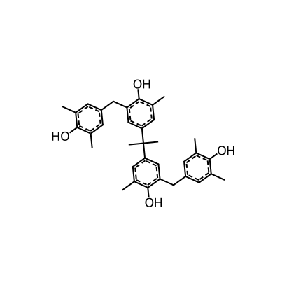 Cc1cc(Cc2cc(C(C)(C)c3cc(C)c(O)c(Cc4cc(C)c(O)c(C)c4)c3)cc(C)c2O)cc(C)c1O